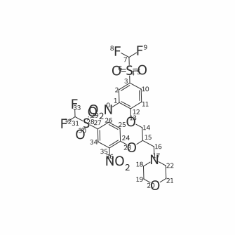 O=[N+]([O-])c1cc(S(=O)(=O)C(F)F)ccc1OCC(CN1CCOCC1)Oc1ccc(S(=O)(=O)C(F)F)cc1[N+](=O)[O-]